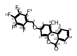 Cc1cc(OCc2c(F)c(F)c(F)c(F)c2F)cc2oc(=O)c3ccccc3c12